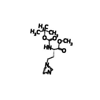 COC(=O)[C@H](CCn1ccnc1)NC(=O)OC(C)(C)C